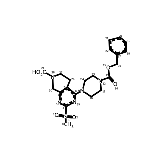 CS(=O)(=O)c1nc2c(c(N3CCN(C(=O)OCc4ccccc4)CC3)n1)CCN(C(=O)O)C2